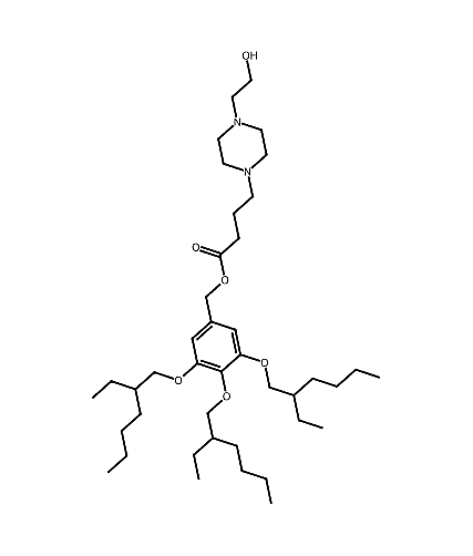 CCCCC(CC)COc1cc(COC(=O)CCCN2CCN(CCO)CC2)cc(OCC(CC)CCCC)c1OCC(CC)CCCC